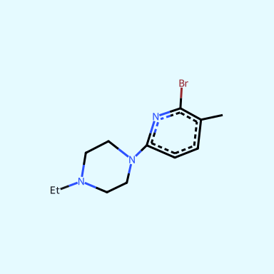 CCN1CCN(c2ccc(C)c(Br)n2)CC1